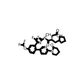 CN(C(=O)[C@@H](CC(=O)O)CC1CCCC1)c1nc(-c2cc(OC(F)F)ccc2-c2ccc(N3CCCCC3=O)nc2)c(F)s1